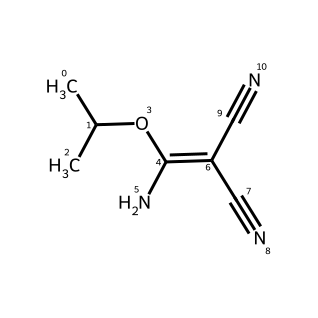 CC(C)OC(N)=C(C#N)C#N